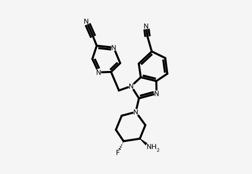 N#Cc1ccc2nc(N3CC[C@@H](F)[C@H](N)C3)n(Cc3cnc(C#N)cn3)c2c1